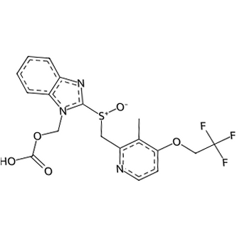 Cc1c(OCC(F)(F)F)ccnc1C[S+]([O-])c1nc2ccccc2n1COC(=O)O